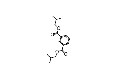 CC(C)COC(=O)c1[c]c(C(=O)OCC(C)C)ccc1